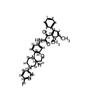 Cc1cc(-c2ccccc2)c(C(=O)C(=O)Nc2ccc3c(c2)OC[C@H]2CN(c4ccc(F)nn4)CCN32)n1C